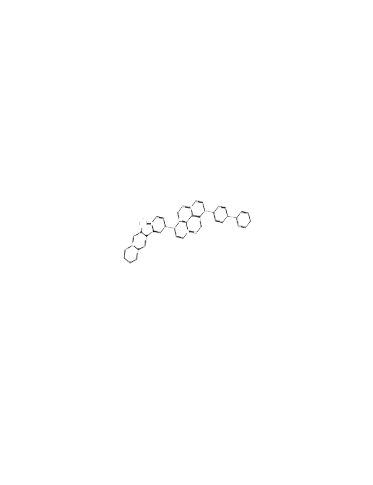 c1ccc(-c2ccc(-c3ccc4ccc5c(-c6ccc7oc8cc9ccccc9cc8c7c6)ccc6ccc3c4c65)cc2)cc1